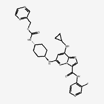 O=C(N[C@H]1CC[C@H](Nc2cc(NC3CC3)c3ncc(C(=O)Nc4ccncc4F)n3n2)CC1)OCc1cnccn1